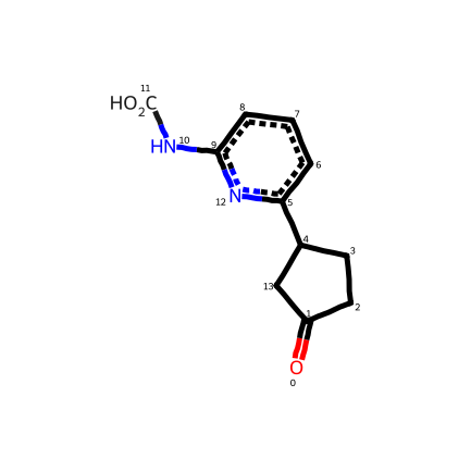 O=C1CCC(c2cccc(NC(=O)O)n2)C1